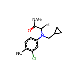 CCC(C(=O)NC)N(CC1CC1)c1ccc(C#N)c(Cl)c1